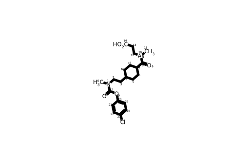 CN(CCC1CCC(C(=O)[As](C)CCC(=O)O)CC1)C(=O)Oc1ccc(Cl)cc1